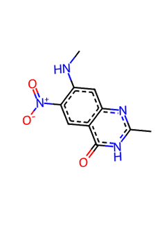 CNc1cc2nc(C)[nH]c(=O)c2cc1[N+](=O)[O-]